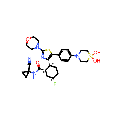 N#CC1(NC(=O)[C@@H]2C[C@@H](F)CC[C@H]2c2nc(N3CCOCC3)sc2-c2ccc(N3CCS(O)(O)CC3)cc2)CC1